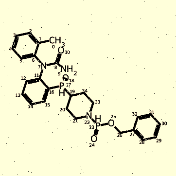 Cc1ccccc1N(C(N)=O)c1ccccc1[PH](=O)C1CCN([PH](=O)OCc2ccccc2)CC1